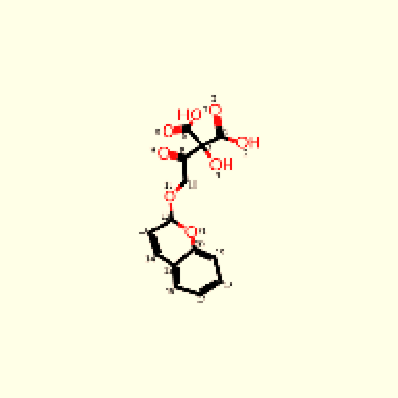 O=C(O)C(O)(C(=O)O)C(=O)COC1C=Cc2ccccc2O1